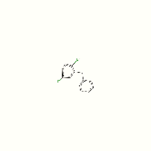 Fc1ccc(Br)c(Cc2ccccc2)c1